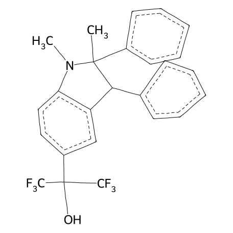 CN1c2ccc(C(O)(C(F)(F)F)C(F)(F)F)cc2C(c2ccccc2)C1(C)c1ccccc1